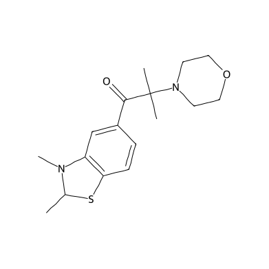 CC1Sc2ccc(C(=O)C(C)(C)N3CCOCC3)cc2N1C